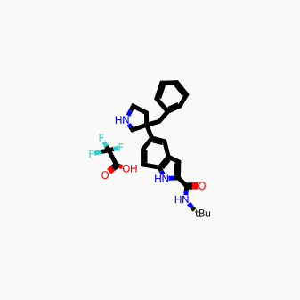 CC(C)(C)NC(=O)c1cc2cc(C3(Cc4ccccc4)CCNC3)ccc2[nH]1.O=C(O)C(F)(F)F